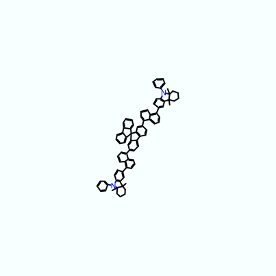 CC12CCCCC1(C)N(c1ccccc1)c1ccc(-c3cccc4c(-c5ccc6c(c5)C5(c7ccccc7-c7ccccc75)c5cc(-c7cccc8c(-c9ccc%10c(c9)C9(C)CCCCC9(C)N%10c9ccccc9)cccc78)ccc5-6)cccc34)cc12